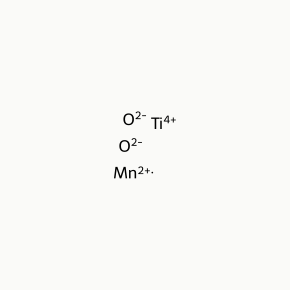 [Mn+2].[O-2].[O-2].[Ti+4]